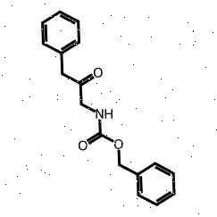 O=C(CNC(=O)OCc1ccccc1)Cc1ccccc1